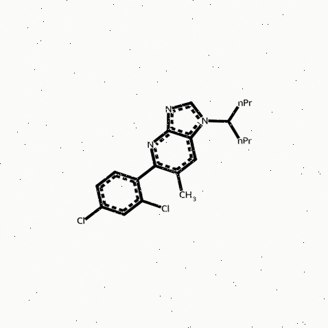 CCCC(CCC)n1cnc2nc(-c3ccc(Cl)cc3Cl)c(C)cc21